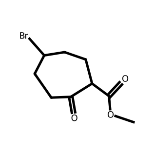 COC(=O)C1CCC(Br)CCC1=O